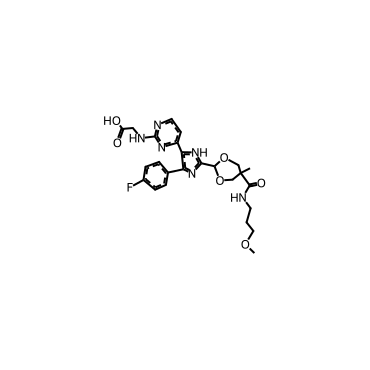 COCCCNC(=O)C1(C)COC(c2nc(-c3ccc(F)cc3)c(-c3ccnc(NCC(=O)O)n3)[nH]2)OC1